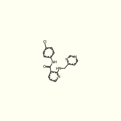 O=C(Nc1ccc(Cl)cc1)c1cccnc1NCc1ccncn1